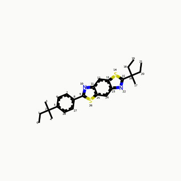 CCC(C)(C)c1ccc(-c2nc3cc4sc(C(C)(CC)CC)nc4cc3s2)cc1